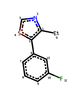 CCc1ncsc1-c1cccc(F)c1